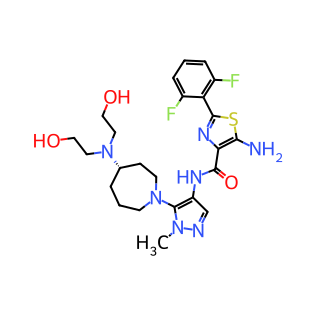 Cn1ncc(NC(=O)c2nc(-c3c(F)cccc3F)sc2N)c1N1CCC[C@H](N(CCO)CCO)CC1